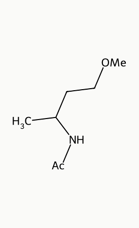 COCCC(C)NC(C)=O